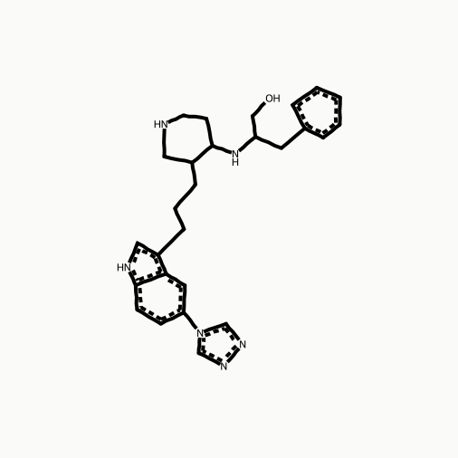 OCC(Cc1ccccc1)NC1CCNCC1CCCc1c[nH]c2ccc(-n3cnnc3)cc12